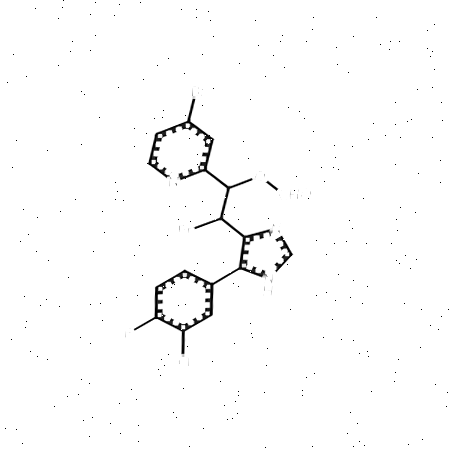 O=COC(c1cc(Br)ccn1)C(Br)c1nc[nH]c1-c1ccc(F)c(Cl)c1